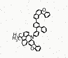 CC1(C)C2=C(C=CCC2)c2c(N(c3cccc(-c4ccc(-c5ccc6ccc7oc8ccccc8c7c6c5)cc4-c4ccccc4)c3)c3ccc4oc5ccccc5c4c3)cccc21